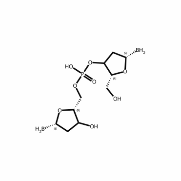 B[C@H]1CC(O)[C@@H](COP(=O)(O)OC2C[C@H](B)O[C@@H]2CO)O1